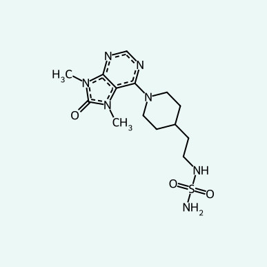 Cn1c(=O)n(C)c2c(N3CCC(CCNS(N)(=O)=O)CC3)ncnc21